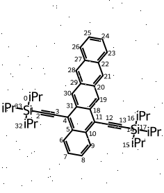 CC(C)[Si](C#Cc1c2ccccc2c(C#C[Si](C(C)C)(C(C)C)C(C)C)c2cc3cc4ccccc4cc3cc12)(C(C)C)C(C)C